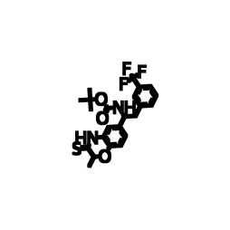 CC1Oc2ccc(C(Cc3cccc(C(F)(F)F)c3)NC(=O)OC(C)(C)C)cc2NC1=S